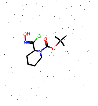 CC(C)(C)OC(=O)N1CCCCC1/C(Cl)=N/O